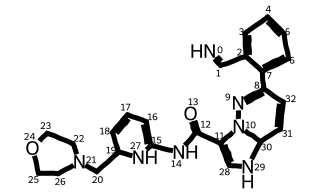 N=Cc1ccccc1C1=NN2C(C(=O)NC3=CC=CC(CN4CCOCC4)N3)=CNC2C=C1